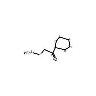 CCCCCSCC(=O)C1CCCCC1